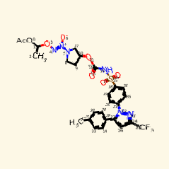 CC(=O)OC(C)O/N=[N+](\[O-])N1CCC(OC(=O)NS(=O)(=O)c2ccc(-n3nc(C(F)(F)F)cc3-c3ccc(C)cc3)cc2)C1